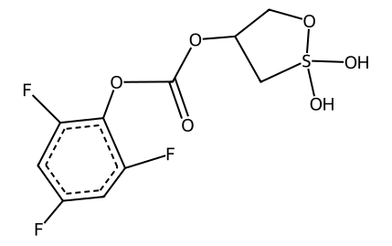 O=C(Oc1c(F)cc(F)cc1F)OC1COS(O)(O)C1